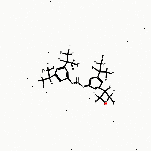 FC(F)(F)C(F)(c1cc(SNSc2cc(C(F)(C(F)(F)F)C(F)(F)F)cc(C(F)(C(F)(F)F)C(F)(F)F)c2)cc(C(F)(C(F)(F)F)C(F)(F)F)c1)C(F)(F)F